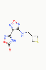 O=c1[nH]c(-c2nonc2NCC2CSC2)no1